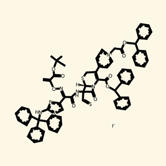 C=C(ON=C(C(=O)NC1(C=S)C(=O)N2C(C(=O)OC(c3ccccc3)c3ccccc3)=C(c3cc[n+](CC(=O)OC(c4ccccc4)c4ccccc4)cc3)CS[C@H]21)c1csc(NC(c2ccccc2)(c2ccccc2)c2ccccc2)n1)C(=O)OC(C)(C)C.[I-]